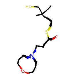 CC(C)(CS)CSC(=O)CCN1CCOCC1